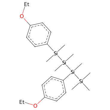 CCOc1ccc([Si](C)(C)[Si](C)(C)[Si](C)(c2ccc(OCC)cc2)[Si](C)(C)C)cc1